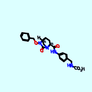 O=C(O)NCc1ccc(NC(=O)[C@@H]2CC[C@@H]3CN2C(=O)N3OCc2ccccc2)cc1